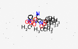 C=CCON([C@@H]1CN(C(=O)OC(C)(C)C)[C@H](CO[Si](C)(C)C(C)(C)C)C=C1CC#N)S(=O)(=O)c1ccccc1[N+](=O)[O-]